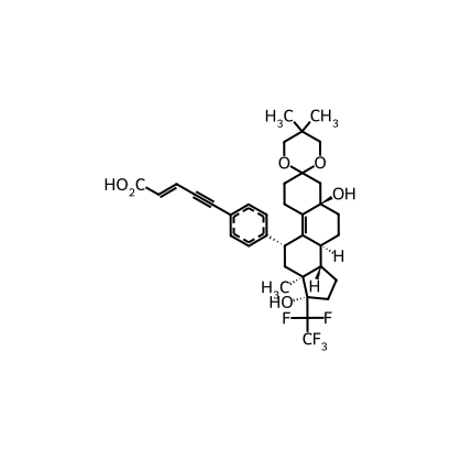 CC1(C)COC2(CCC3=C4[C@@H](CC[C@@]3(O)C2)[C@@H]2CC[C@@](O)(C(F)(F)C(F)(F)F)[C@@]2(C)C[C@@H]4c2ccc(C#C/C=C/C(=O)O)cc2)OC1